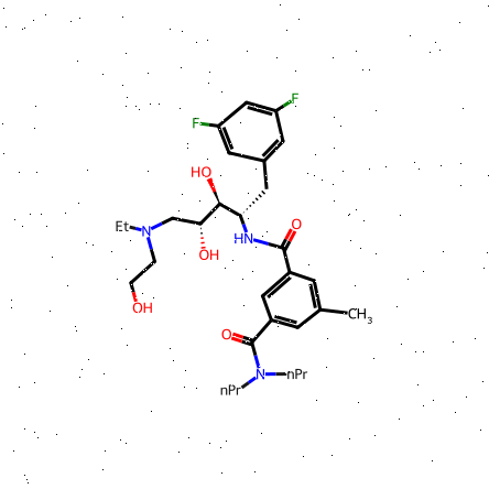 CCCN(CCC)C(=O)c1cc(C)cc(C(=O)N[C@@H](Cc2cc(F)cc(F)c2)[C@H](O)[C@H](O)CN(CC)CCO)c1